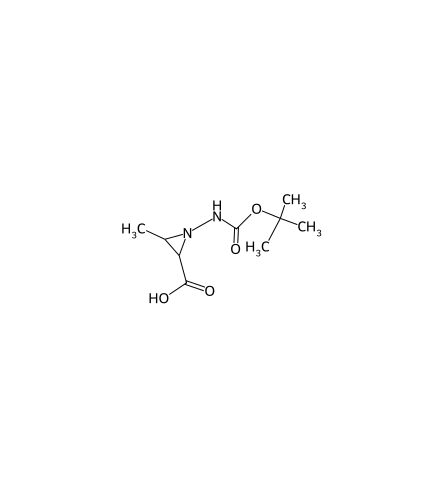 CC1C(C(=O)O)N1NC(=O)OC(C)(C)C